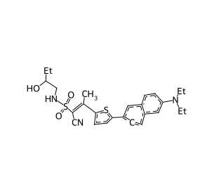 CCC(O)CNS(=O)(=O)/C(C#N)=C(\C)c1ccc(-c2ccc3cc(N(CC)CC)ccc3c2)s1